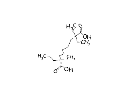 CCCC(CC)(CCCCCC(CC)(CC)C(=O)O)C(=O)O